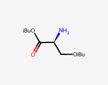 CC(C)COC[C@H](N)C(=O)OCC(C)C